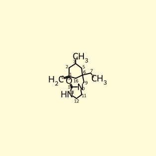 C=C1CC(C)CC(CC)(CN2CCNC2=O)C1